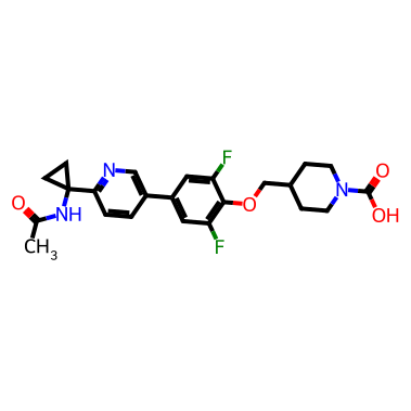 CC(=O)NC1(c2ccc(-c3cc(F)c(OCC4CCN(C(=O)O)CC4)c(F)c3)cn2)CC1